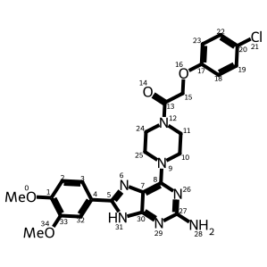 COc1ccc(-c2nc3c(N4CCN(C(=O)COc5ccc(Cl)cc5)CC4)nc(N)nc3[nH]2)cc1OC